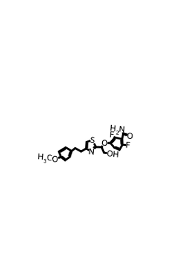 COc1ccc(CCc2csc(C(CO)Oc3ccc(F)c(C(N)=O)c3F)n2)cc1